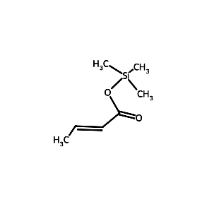 CC=CC(=O)O[Si](C)(C)C